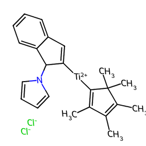 CC1=C(C)C(C)(C)[C]([Ti+2][C]2=Cc3ccccc3C2n2cccc2)=C1C.[Cl-].[Cl-]